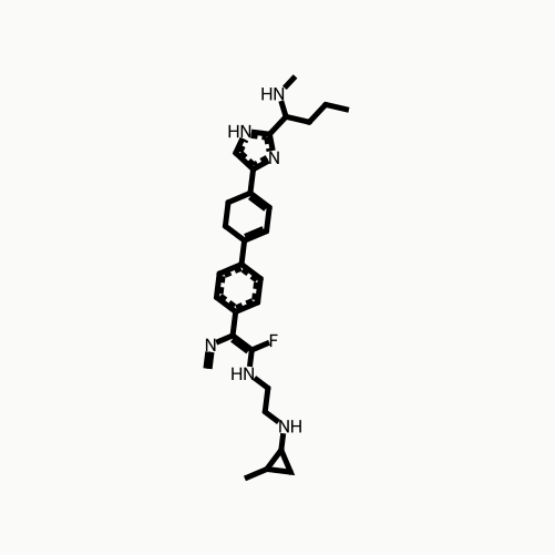 C=N/C(=C(/F)NCCNC1CC1C)c1ccc(C2=CC=C(c3c[nH]c(C(CCC)NC)n3)CC2)cc1